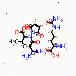 CC(C)C(C(=O)O)N(C(=O)CC(N)N)N1C(=O)C=CC1=O.NC(=O)NCCCC(N)C(=O)O